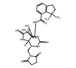 CC1(C)CCc2cccc(C(=O)NC3CN4C(=N)N[C@@H](CN5C(=O)CCC5=O)[C@@H]5NC(=N)NC54C3(O)O)c21